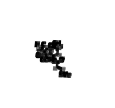 C=C1COC(=O)C12CC1(C)C(C)CCC(OC(=O)/C=C/SC)C1C2OC(C)=O